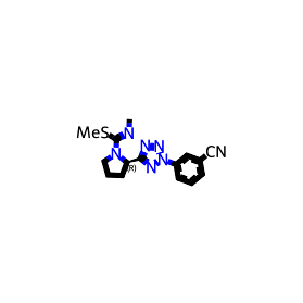 CN=C(SC)N1CCC[C@@H]1c1nnn(-c2cccc(C#N)c2)n1